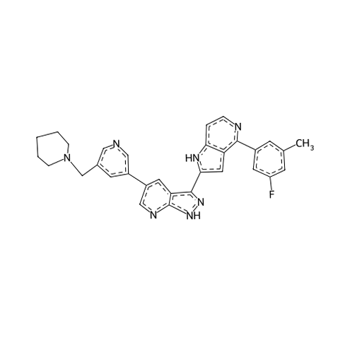 Cc1cc(F)cc(-c2nccc3[nH]c(-c4n[nH]c5ncc(-c6cncc(CN7CCCCC7)c6)cc45)cc23)c1